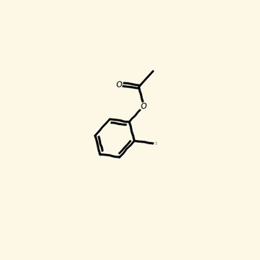 [CH]c1ccccc1OC(C)=O